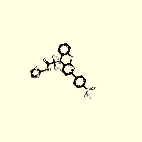 C[S+]([O-])c1ccc(-c2ccc3c(n2)Oc2ccccc2[C@@H]3C(C)(C)C(=O)Nc2nccs2)cc1